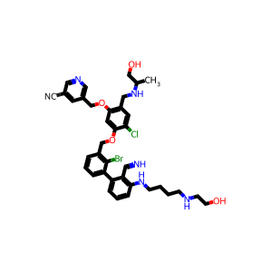 CC(CO)NCc1cc(Cl)c(OCc2cccc(-c3cccc(NCCCCNCCO)c3C=N)c2Br)cc1OCc1cncc(C#N)c1